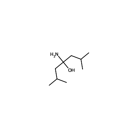 CC(C)CC(N)(O)CC(C)C